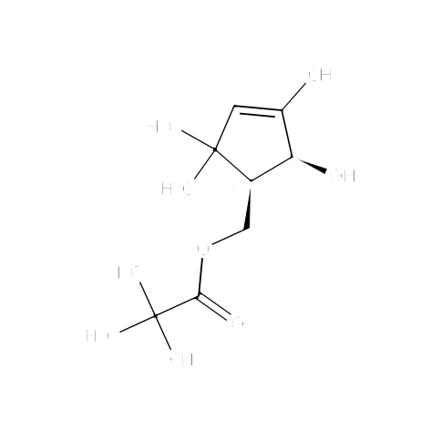 CC1=CC(C)(C)[C@H](COC(=O)C(C)(C)C)[C@@H]1O